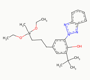 CCO[Si](C)(CCCc1cc(-n2nc3ccccc3n2)c(O)c(C(C)(C)C)c1)OCC